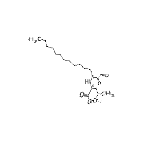 CCCCCCCCCCCCN(N[C@@H](CC(C)C)C(=O)O)C(=O)C=O